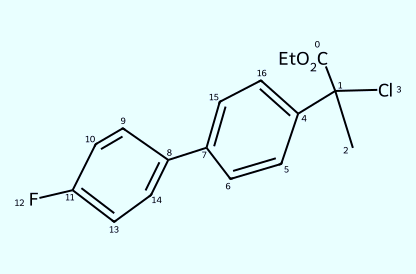 CCOC(=O)C(C)(Cl)c1ccc(-c2ccc(F)cc2)cc1